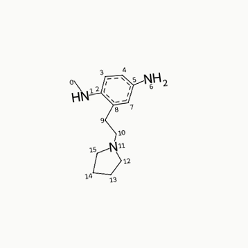 CNc1ccc(N)cc1CCN1CCCC1